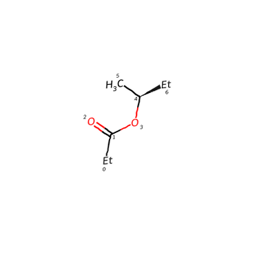 CCC(=O)O[C@@H](C)CC